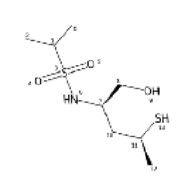 CC(C)S(=O)(=O)N[C@@H](CO)C[C@H](C)S